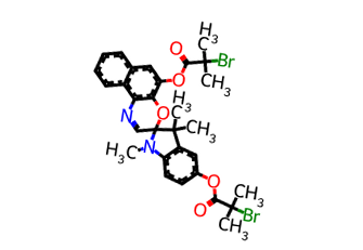 CN1c2ccc(OC(=O)C(C)(C)Br)cc2C(C)(C)C12C=Nc1c(c(OC(=O)C(C)(C)Br)cc3ccccc13)O2